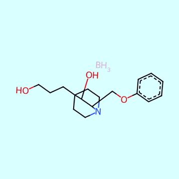 B.OCCCC12CCN(CC1)C(COc1ccccc1)C2O